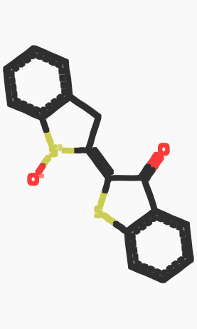 O=C1C(=C2Cc3ccccc3[S+]2[O-])Sc2ccccc21